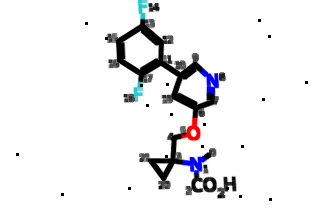 CN(C(=O)O)C1(COc2cncc(-c3cc(F)ccc3F)c2)CC1